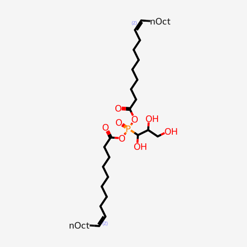 CCCCCCCC/C=C\CCCCCCCC(=O)OP(=O)(OC(=O)CCCCCCC/C=C\CCCCCCCC)C(O)C(O)CO